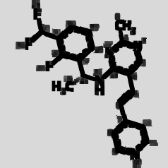 Cc1ncc(/C=C/c2ccncc2)c(N[C@H](C)c2cccc(C(F)F)c2F)n1